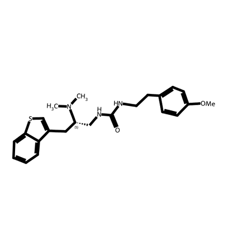 COc1ccc(CCNC(=O)NC[C@H](Cc2csc3ccccc23)N(C)C)cc1